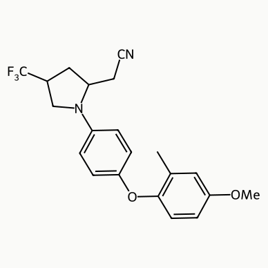 COc1ccc(Oc2ccc(N3CC(C(F)(F)F)CC3CC#N)cc2)c(C)c1